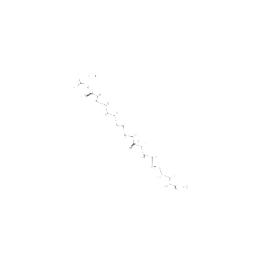 CCCCCCC(C)OC(=O)CCCCCCCCCC(=O)CCCCCCCCO